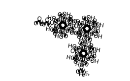 O=P(O)(O)O[C@H]1[C@H](OP(=O)(O)O)[C@@H](OP(=O)(O)O)[C@H](OP(=O)(O)O)[C@@H](OP(=O)(O)O)[C@H]1OP(=O)(O)O.O=P(O)(O)O[C@H]1[C@H](OP(=O)(O)O)[C@@H](OP(=O)(O)O)[C@H](OP(=O)(O)O)[C@@H](OP(=O)(O)O)[C@H]1OP(=O)(O)O.O=P(O)(O)O[C@H]1[C@H](OP(=O)(O)O)[C@@H](OP(=O)(O)O)[C@H](OP(=O)(O)O)[C@@H](OP(=O)(O)O)[C@H]1OP(=O)(O)O.O=[N+]([O-])[O-].O=[N+]([O-])[O-].O=[N+]([O-])[O-].[Fe+3]